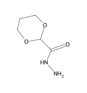 NNC(=O)C1OCCCO1